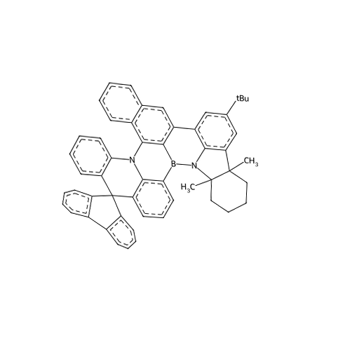 CC(C)(C)c1cc2c3c(c1)C1(C)CCCCC1(C)N3B1c3cccc4c3N(c3ccccc3C43c4ccccc4-c4ccccc43)c3c1c-2cc1ccccc31